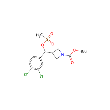 CC(C)(C)OC(=O)N1CC(C(OS(C)(=O)=O)c2ccc(Cl)c(Cl)c2)C1